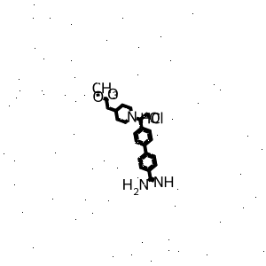 COC(=O)CC1CCN(C(C=O)c2ccc(-c3ccc(C(=N)N)cc3)cc2)CC1.Cl